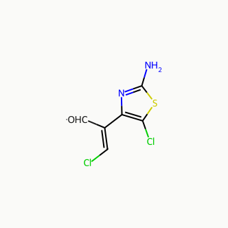 Nc1nc(/C([C]=O)=C/Cl)c(Cl)s1